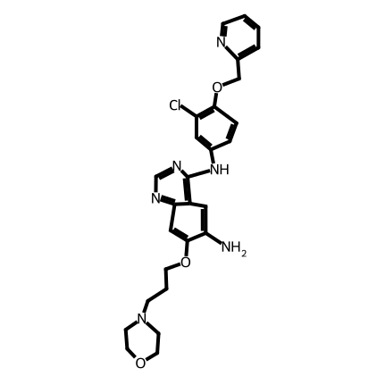 Nc1cc2c(Nc3ccc(OCc4ccccn4)c(Cl)c3)ncnc2cc1OCCCN1CCOCC1